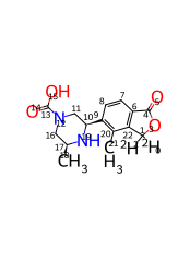 [2H]C1([2H])OC(=O)c2ccc([C@@H]3CN(C(=O)O)C[C@H](C)N3)c(C)c21